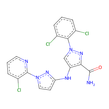 NC(=O)c1nn(-c2c(Cl)cccc2Cl)cc1Nc1ccn(-c2ncccc2Cl)n1